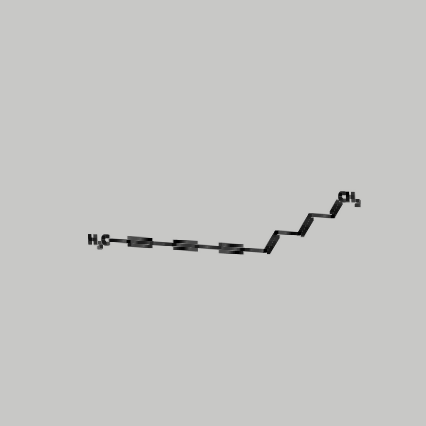 C=CC=CC=CC#CC#CC#CC